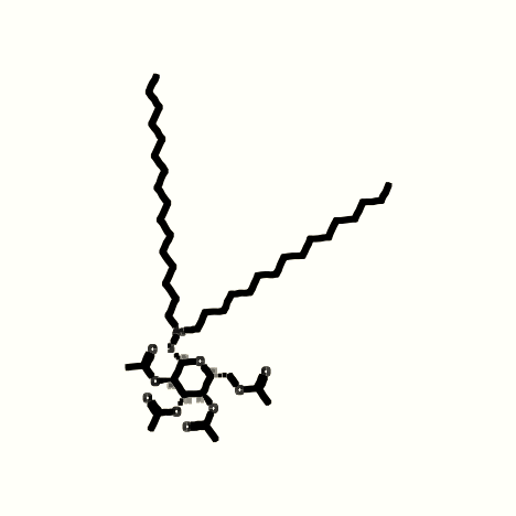 CCCCCCCCCCCCCCCC[As](CCCCCCCCCCCCCCCC)S[C@@H]1O[C@H](COC(C)=O)[C@@H](OC(C)=O)[C@H](OC(C)=O)[C@H]1OC(C)=O